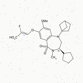 CSc1cc2c(cc1O/C=C(\F)C(=O)O)S(=O)(=O)N(C)[C@H](C1CCCC1)CN2C12CCC(C1)C2